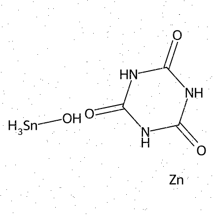 O=c1[nH]c(=O)[nH]c(=O)[nH]1.[OH][SnH3].[Zn]